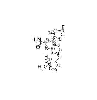 CC1(C)CC(CN2CCc3c(-c4ccc(F)cc4F)cc(C(N)=O)nc3C2)CCO1